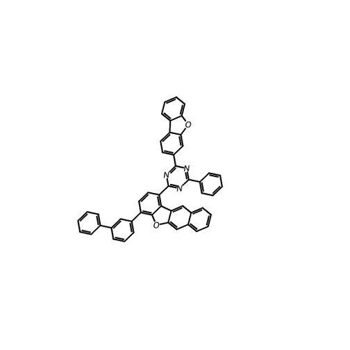 c1ccc(-c2cccc(-c3ccc(-c4nc(-c5ccccc5)nc(-c5ccc6c(c5)oc5ccccc56)n4)c4c3oc3cc5ccccc5cc34)c2)cc1